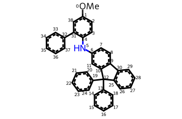 COc1ccc(Nc2ccc3c(c2)C(c2ccccc2)(c2ccccc2)c2ccccc2-3)c(-c2ccccc2)c1